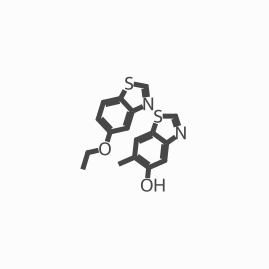 CCOc1ccc2scnc2c1.Cc1cc2scnc2cc1O